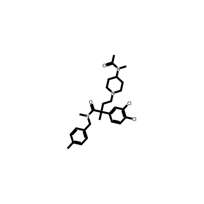 CC(=O)N(C)C1CCN(CCC(C)(C(=O)N(C)Cc2ccc(C)cc2)c2ccc(Cl)c(Cl)c2)CC1